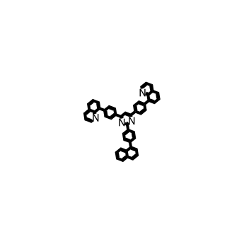 c1ccc2c(-c3ccc(-c4nc(-c5ccc(-c6cccc7cccnc67)cc5)cc(-c5ccc(-c6cccc7cccnc67)cc5)n4)cc3)cccc2c1